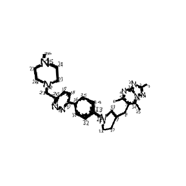 Cc1nc2nc(C)c(CC3CCN(c4ccc(-c5ccc(CN6CCN(C)CC6)nn5)cc4)C3)c(C)n2n1